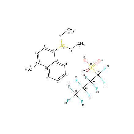 CC[S+](CC)c1ccc(C)c2ccccc12.O=S(=O)([O-])C(F)(F)C(F)(F)C(F)(F)C(F)(F)F